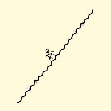 CCCCC/C=C/C/C=C/CCCCCCCCC(CCCCCCCC/C=C/C/C=C/CCCCC)OS(C)(=O)=O